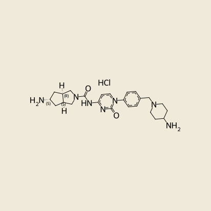 Cl.NC1CCN(Cc2ccc(-n3ccc(NC(=O)N4C[C@H]5C[C@H](N)C[C@H]5C4)nc3=O)cc2)CC1